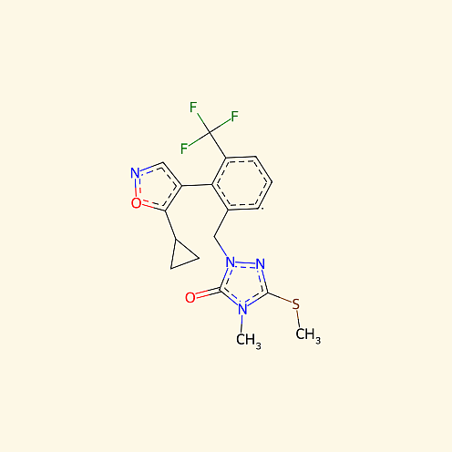 CSc1nn(Cc2[c]ccc(C(F)(F)F)c2-c2cnoc2C2CC2)c(=O)n1C